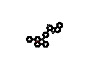 c1ccc(-c2ccc(N(c3ccc(-c4cncc5c4oc4ccc6ccccc6c45)cc3)c3ccccc3-c3ccccc3)cc2)cc1